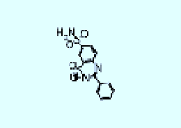 NS(=O)(=O)c1ccc2c(c1)S(=O)(=O)NC(c1ccccc1)=N2